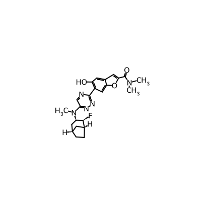 CN(C)C(=O)c1cc2cc(O)c(-c3ncc(N(C)[C@@H]4C[C@H]5CC[C@H](C5)[C@@H]4F)nn3)cc2o1